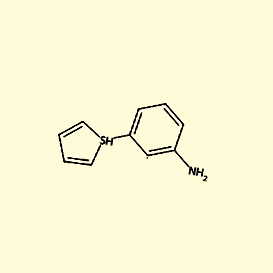 Nc1[c]c([SH]2C=CC=C2)ccc1